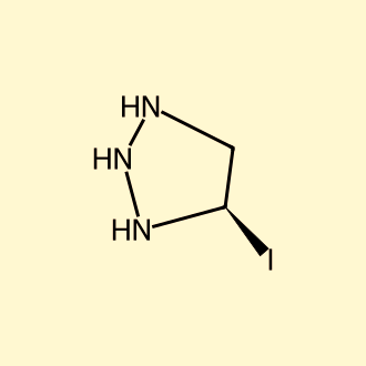 I[C@@H]1CNNN1